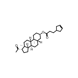 CC(=O)[C@H]1CC[C@H]2[C@@H]3CC[C@H]4C[C@H](OC(=O)CCC5CC=CC5)CC[C@]4(C)[C@H]3CC[C@]12C